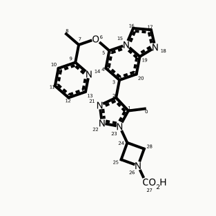 Cc1c(-c2cc(OC(C)c3ccccn3)n3ccnc3c2)nnn1C1CN(C(=O)O)C1